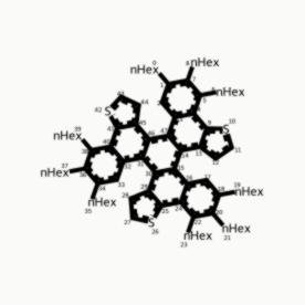 CCCCCCc1cc2c(c(CCCCCC)c1CCCCCC)c1sccc1c1c3c4cc(CCCCCC)c(CCCCCC)c(CCCCCC)c4c4sccc4c3c3c4cc(CCCCCC)c(CCCCCC)c(CCCCCC)c4c4sccc4c3c21